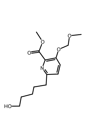 COCOc1ccc(CCCCCO)nc1C(=O)OC